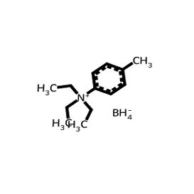 CC[N+](CC)(CC)c1ccc(C)cc1.[BH4-]